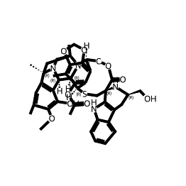 COc1c(C)cc2c(c1O)[C@@H]1[C@@H]3[C@@H]4SC[C@]5(N[C@@H](CO)Cc6c5[nH]c5ccccc65)C(=O)OC[C@@H](c5c6c(c(C)c(OC(C)=O)c54)OCO6)N3C3(C)CN1[C@]2(C)C3